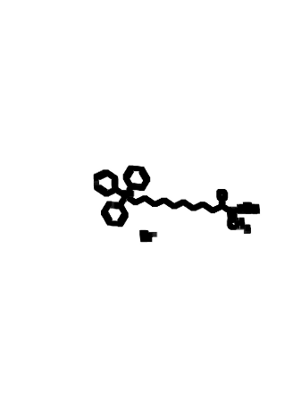 CCCCN(C)C(=O)CCCCCCCCC[P+](c1ccccc1)(c1ccccc1)c1ccccc1.[Br-]